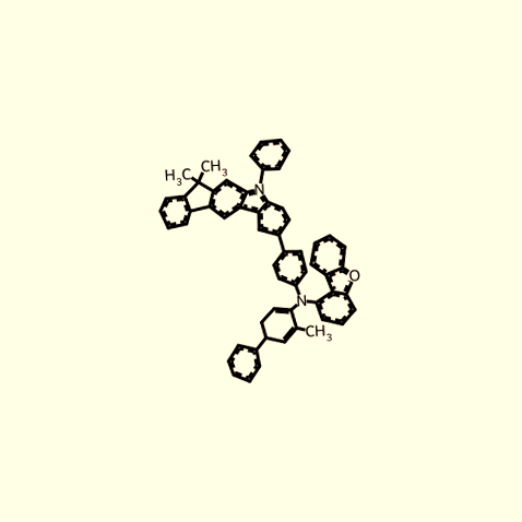 CC1=CC(c2ccccc2)CC=C1N(c1ccc(-c2ccc3c(c2)c2cc4c(cc2n3-c2ccccc2)C(C)(C)c2ccccc2-4)cc1)c1cccc2oc3ccccc3c12